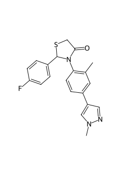 Cc1cc(-c2cnn(C)c2)ccc1N1C(=O)CSC1c1ccc(F)cc1